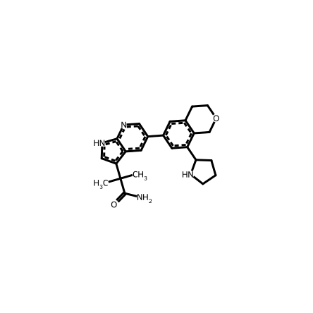 CC(C)(C(N)=O)c1c[nH]c2ncc(-c3cc4c(c(C5CCCN5)c3)COCC4)cc12